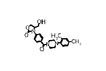 Cc1ccc(N2CCN(C(=O)c3ccc(N4C(=O)OCC4CO)cc3)CC2)c(C)c1